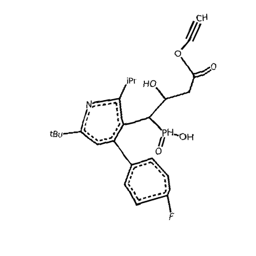 C#COC(=O)CC(O)C(c1c(-c2ccc(F)cc2)cc(C(C)(C)C)nc1C(C)C)[PH](=O)O